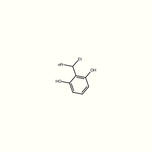 [CH2]CC(CCC)c1c(O)cccc1O